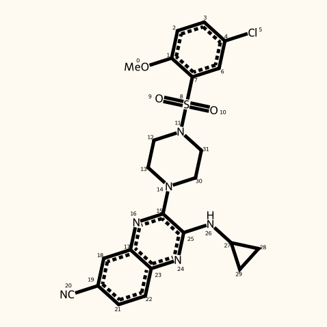 COc1ccc(Cl)cc1S(=O)(=O)N1CCN(c2nc3cc(C#N)ccc3nc2NC2CC2)CC1